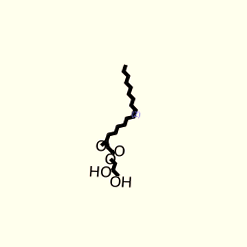 CCCCCCCC/C=C\CCCCCC1OC1C(=O)OCC(O)CO